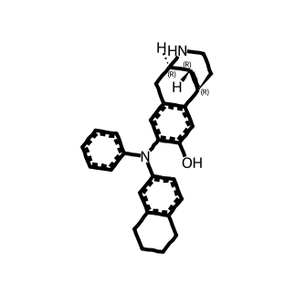 Oc1cc2c(cc1N(c1ccccc1)c1ccc3c(c1)CCCC3)C[C@H]1NCC[C@@]23CCCC[C@@H]13